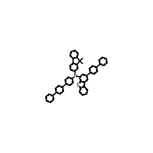 CC1(C)c2ccccc2-c2ccc(N(c3ccc(-c4ccc(-c5ccccc5)cc4)cc3)c3cc(-c4ccc(-c5ccccc5)cc4)cc4c3sc3ccccc34)cc21